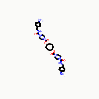 Nc1ccc(CNC(=O)N2CCN(C(=O)O[C@H]3CCC[C@@H](OC(=O)N4CCN(C(=O)NCc5ccc(N)cc5)CC4)CCC3)CC2)cc1